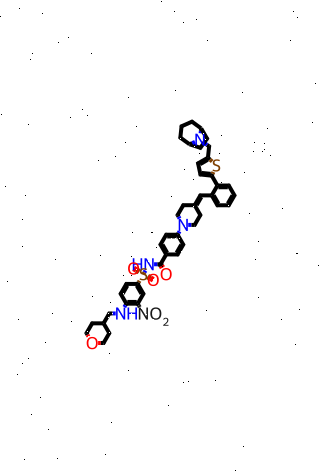 O=C(NS(=O)(=O)c1ccc(NCC2CCOCC2)c([N+](=O)[O-])c1)c1ccc(N2CCC(=Cc3ccccc3-c3ccc(CN4C5CCCC4CC5)s3)CC2)cc1